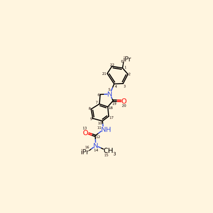 CC(C)c1ccc(N2Cc3ccc(NC(=O)N(C)C(C)C)cc3C2=O)cc1